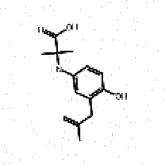 C=C(C)Cc1cc(NC(C)(C)C(=O)O)ccc1O